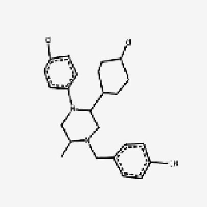 CC1CN(c2ccc(Cl)cc2)C(C2CCC(Cl)CC2)CN1Cc1ccc(C#N)cc1